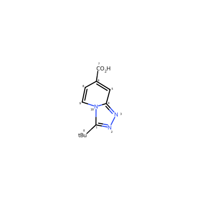 CC(C)(C)c1nnc2cc(C(=O)O)ccn12